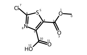 COC(=O)c1sc(Cl)nc1C(=O)O